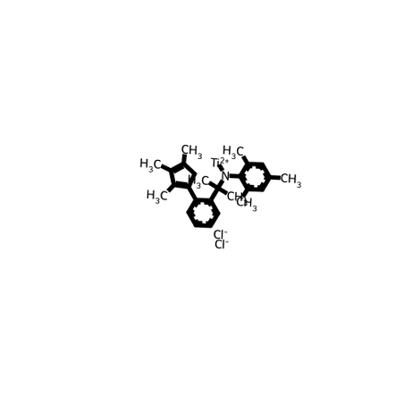 CC1=C(C)C(C)=C(c2ccccc2C(C)(C)[N]([Ti+2])c2c(C)cc(C)cc2C)C1.[Cl-].[Cl-]